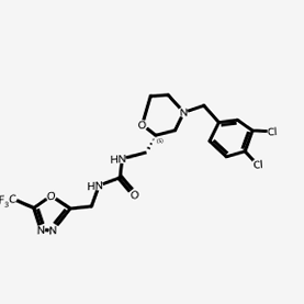 O=C(NCc1nnc(C(F)(F)F)o1)NC[C@H]1CN(Cc2ccc(Cl)c(Cl)c2)CCO1